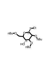 CCCCOCC1O[C@@H](SCC)C(OCCCC)C(OCCCC)[C@@H]1O